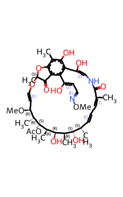 CO/N=C/C=C(\O)c1c2c3c(C)c(O)c1/C(O)=C/NC(=O)/C(C)=C\C=C\[C@H](C)[C@H](O)[C@@H](C)[C@@H](O)[C@@H](C)[C@H](OC(C)=O)[C@H](C)[C@@H](OC)/C=C/O[C@@](C)(O3)C2=O